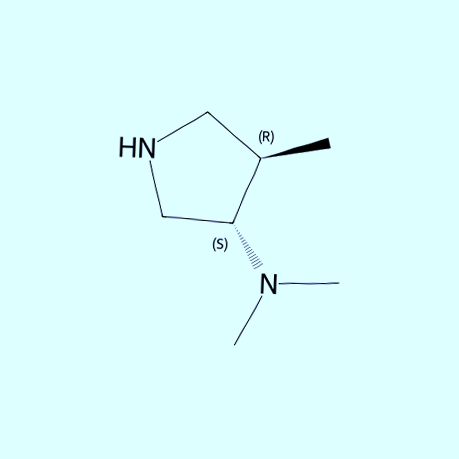 C[C@@H]1CNC[C@H]1N(C)C